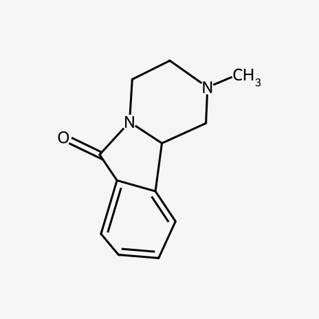 CN1CCN2C(=O)c3ccccc3C2C1